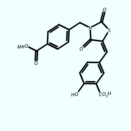 COC(=O)c1ccc(CN2C(=O)SC(=Cc3ccc(O)c(C(=O)O)c3)C2=O)cc1